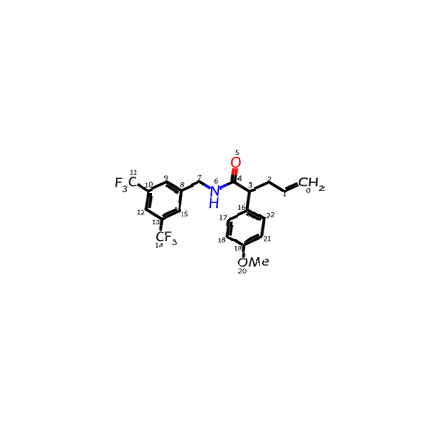 C=CCC(C(=O)NCc1cc(C(F)(F)F)cc(C(F)(F)F)c1)c1ccc(OC)cc1